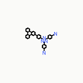 N#Cc1ccc(-c2nc(-c3ccc(C#N)cc3)nc(-c3ccc(-c4ccc5c6ccccc6c6ccccc6c5c4)cc3)n2)cc1